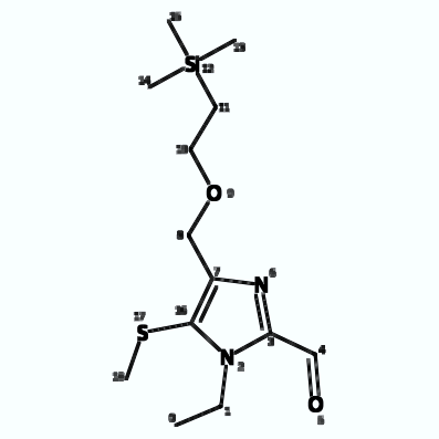 CCn1c(C=O)nc(COCC[Si](C)(C)C)c1SC